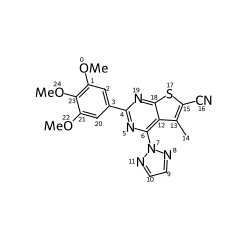 COc1cc(-c2nc(-n3nccn3)c3c(C)c(C#N)sc3n2)cc(OC)c1OC